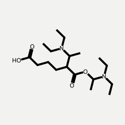 CCN(CC)C(C)OC(=O)C(CCCC(=O)O)C(C)N(CC)CC